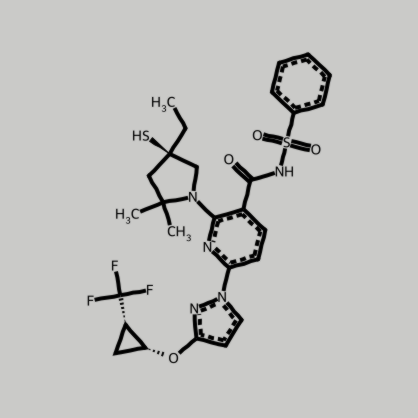 CC[C@]1(S)CN(c2nc(-n3ccc(O[C@@H]4C[C@@H]4C(F)(F)F)n3)ccc2C(=O)NS(=O)(=O)c2ccccc2)C(C)(C)C1